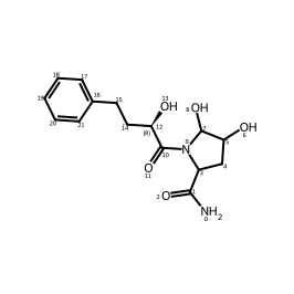 NC(=O)C1CC(O)C(O)N1C(=O)[C@H](O)[CH]Cc1ccccc1